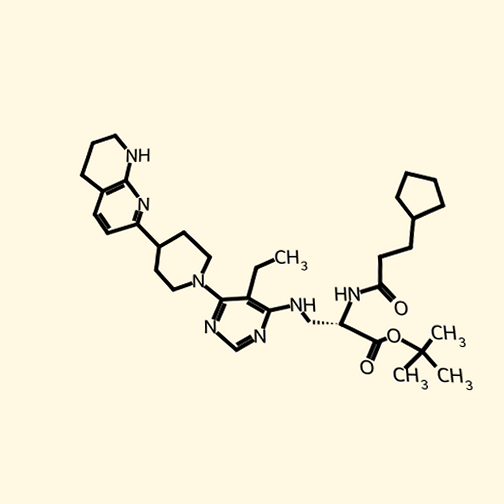 CCc1c(NC[C@H](NC(=O)CCC2CCCC2)C(=O)OC(C)(C)C)ncnc1N1CCC(c2ccc3c(n2)NCCC3)CC1